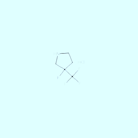 Cl.FC(F)(F)C1(F)CCNC1